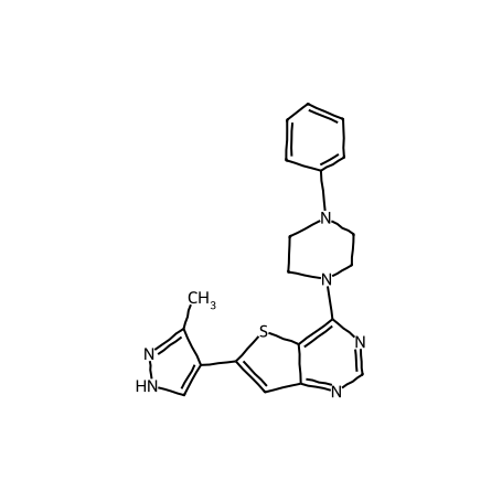 Cc1n[nH]cc1-c1cc2ncnc(N3CCN(c4ccccc4)CC3)c2s1